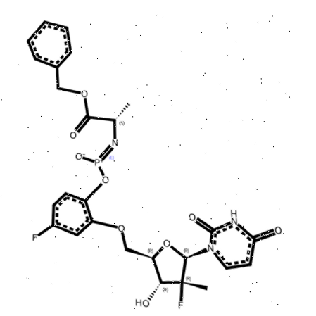 C[C@H](/N=[P+](\[O-])Oc1ccc(F)cc1OC[C@H]1O[C@@H](n2ccc(=O)[nH]c2=O)[C@](C)(F)[C@@H]1O)C(=O)OCc1ccccc1